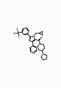 O=C(c1c(-c2ccncc2)nc(-c2cccc(C(F)(F)F)c2)n1CC1CC1)N1CCC(N2CCCC2)CC1